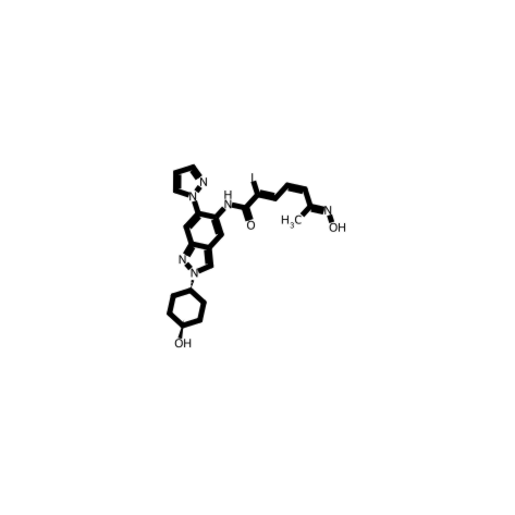 CC(/C=C\C=C(/I)C(=O)Nc1cc2cn([C@H]3CC[C@H](O)CC3)nc2cc1-n1cccn1)=N\O